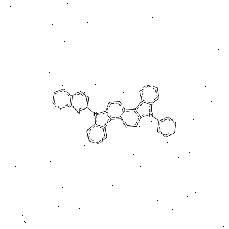 c1ccc(-n2c3ccccc3c3c4ccc5c(c4ccc32)c2ccccc2n5-c2ccc3ccccc3n2)cc1